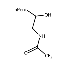 CCCCCC(O)CNC(=O)C(F)(F)F